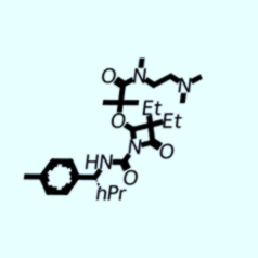 CCC[C@@H](NC(=O)N1C(=O)C(CC)(CC)C1OC(C)(C)C(=O)N(C)CCN(C)C)c1ccc(C)cc1